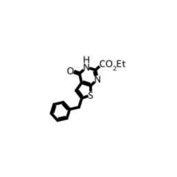 CCOC(=O)c1nc2sc(Cc3ccccc3)cc2c(=O)[nH]1